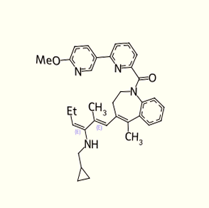 CC/C=C(NCC1CC1)\C(C)=C\C1=C(C)c2ccccc2N(C(=O)c2cccc(-c3ccc(OC)nc3)n2)CC1